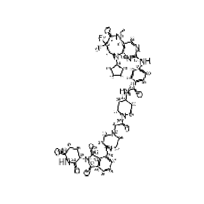 CN1C(=O)C(F)(F)CN(C2CCCC2)c2nc(Nc3ccc(C(=O)NC4CCN(C(=O)CN5CCN(c6cccc7c6C(=O)N(C6CCC(=O)NC6=O)C7=O)CC5)CC4)cc3)ncc21